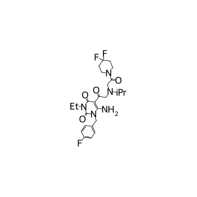 CCn1c(=O)c(C(=O)CN(CC(=O)N2CCC(F)(F)CC2)C(C)C)c(N)n(Cc2ccc(F)cc2)c1=O